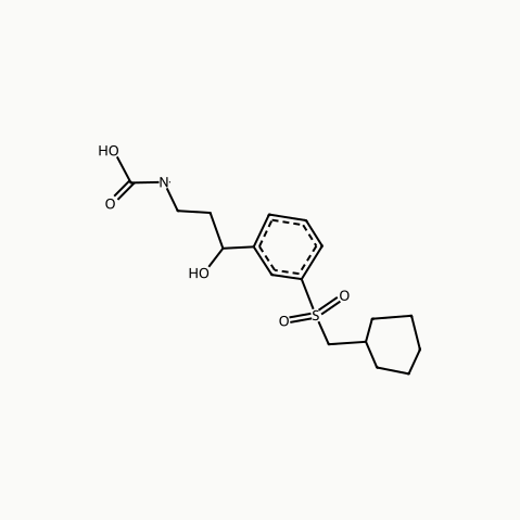 O=C(O)[N]CCC(O)c1cccc(S(=O)(=O)CC2CCCCC2)c1